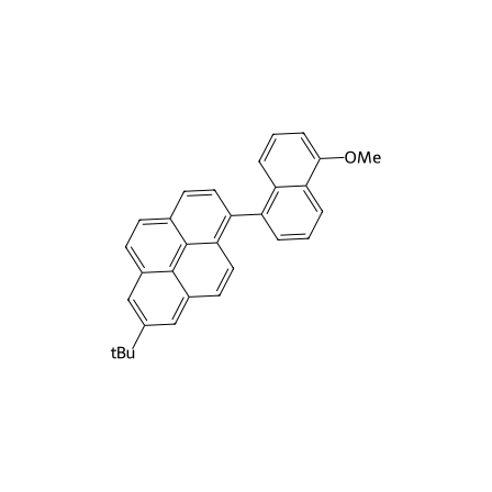 COc1cccc2c(-c3ccc4ccc5cc(C(C)(C)C)cc6ccc3c4c56)cccc12